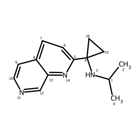 CC(C)NC1(c2ccc3ccncc3n2)CC1